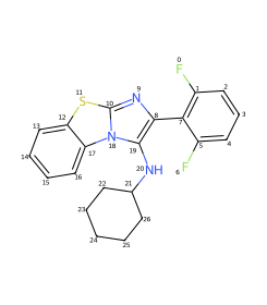 Fc1cccc(F)c1-c1nc2sc3ccccc3n2c1NC1CCCCC1